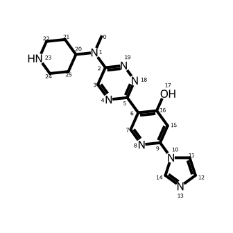 CN(c1cnc(-c2cnc(-n3ccnc3)cc2O)nn1)C1CCNCC1